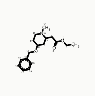 CCOC(=O)CC1CC(SCc2ccccc2)CCN1C